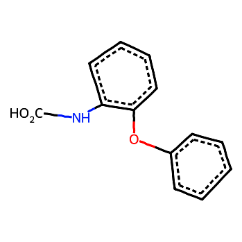 O=C(O)Nc1ccccc1Oc1ccccc1